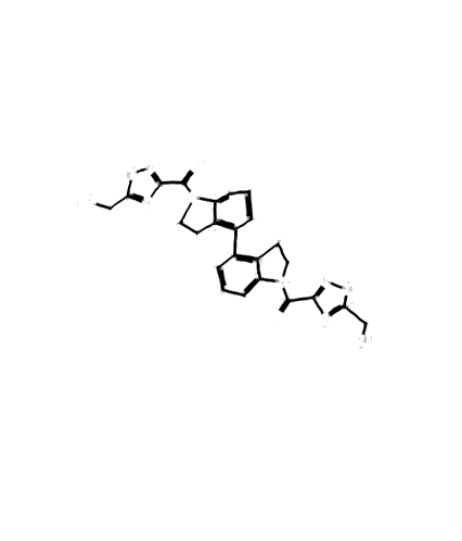 NCc1nc(C(=O)N2CCc3c(-c4cccc5c4CCN5C(=O)c4n[nH]c(CN)n4)cccc32)n[nH]1